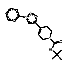 CC(C)(C)NC(=O)N1CC=C(c2cn(-c3ccccc3)nn2)CC1